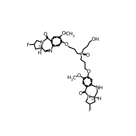 COc1cc2c(cc1OCCCP(=O)(CCCO)CCCOc1cc3c(cc1OC)C(=O)N1CC(F)C[C@H]1CN3)N=C[C@@H]1CC(F)CN1C2=O